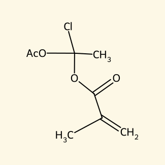 C=C(C)C(=O)OC(C)(Cl)OC(C)=O